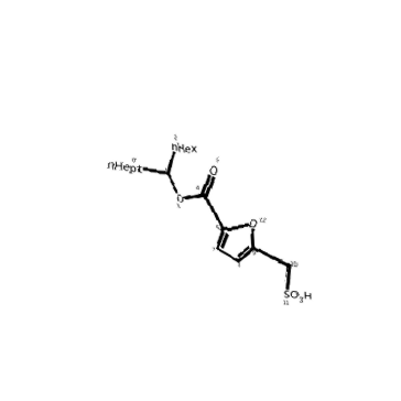 CCCCCCCC(CCCCCC)OC(=O)c1ccc(CS(=O)(=O)O)o1